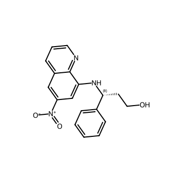 O=[N+]([O-])c1cc(N[C@H](CCO)c2ccccc2)c2ncccc2c1